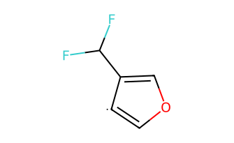 FC(F)c1[c]coc1